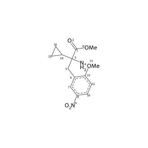 COC(=O)C(N)(Cc1cc([N+](=O)[O-])ccc1OC)C1CC1